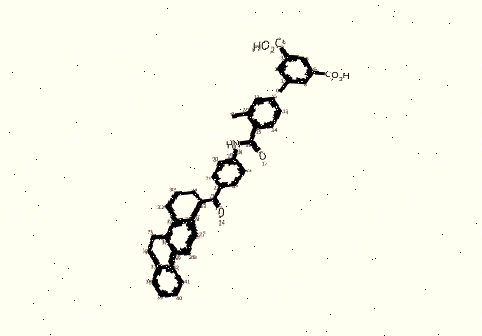 Cc1cc(C(=O)O)cc(C(=O)O)c1.Cc1ccccc1C(=O)Nc1ccc(C(=O)C2=c3ccc4c(c3CCC2)CC=c2ccccc2=4)cc1